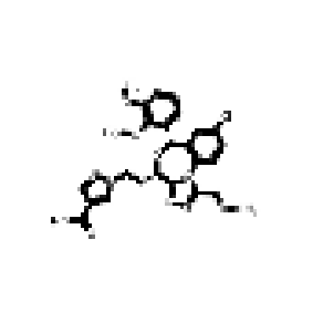 COCc1nnc2n1-c1ccc(Cl)cc1[C@@H](c1cccc(OC)c1OC)O[C@@H]2CCn1cc(C(=O)O)cn1